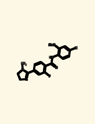 COc1cc(Cl)ccc1NC(=O)c1ccc(C2=NCCN2C)cc1F